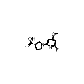 COc1cc(F)nc(N2CC[C@H](C(=O)O)C2)c1